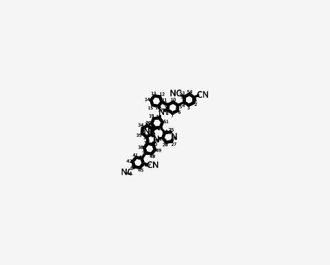 N#Cc1ccc(-c2ccc3c(c2)c2ccccc2n3-c2ccc(C#N)c(-c3cnccc3-n3c4ccccc4c4cc(-c5ccc(C#N)cc5C#N)ccc43)c2)c(C#N)c1